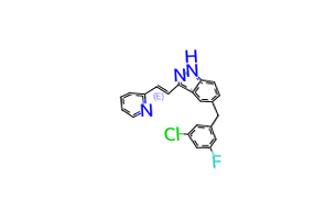 Fc1cc(Cl)cc(Cc2ccc3[nH]nc(/C=C/c4ccccn4)c3c2)c1